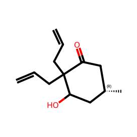 C=CCC1(CC=C)C(=O)C[C@H](C)CC1O